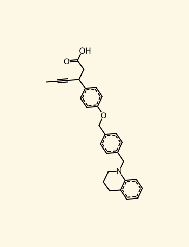 CC#CC(CC(=O)O)c1ccc(OCc2ccc(CN3CCCc4ccccc43)cc2)cc1